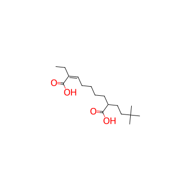 CCC(=CCCCCC(CCC(C)(C)C)C(=O)O)C(=O)O